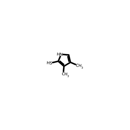 Cc1c[nH]c(S)c1C